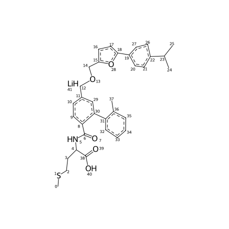 CSCCC(NC(=O)c1ccc(COCc2ccc(-c3ccc(C(C)C)cc3)o2)cc1-c1ccccc1C)C(=O)O.[LiH]